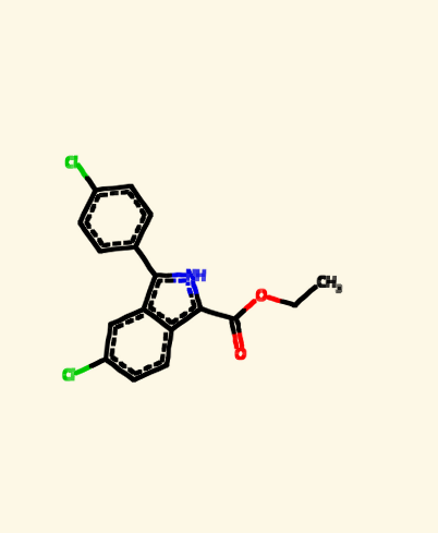 CCOC(=O)c1[nH]c(-c2ccc(Cl)cc2)c2cc(Cl)ccc12